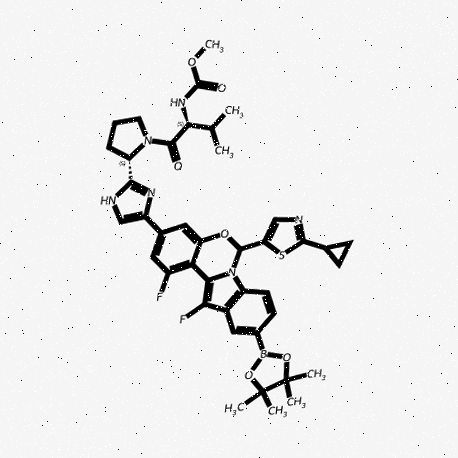 COC(=O)N[C@H](C(=O)N1CCC[C@H]1c1nc(-c2cc(F)c3c(c2)OC(c2cnc(C4CC4)s2)n2c-3c(F)c3cc(B4OC(C)(C)C(C)(C)O4)ccc32)c[nH]1)C(C)C